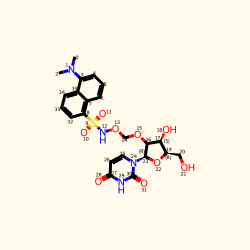 CN(C)c1cccc2c(S(=O)(=O)NOCOC3[C@@H](O)[C@@H](CO)O[C@H]3n3ccc(=O)[nH]c3=O)cccc12